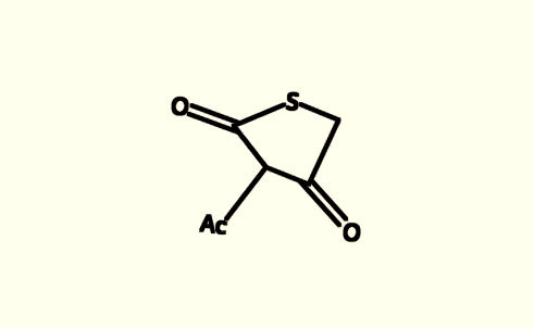 CC(=O)C1C(=O)CSC1=O